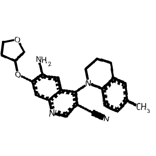 Cc1ccc2c(c1)CCCN2c1c(C#N)cnc2cc(OC3CCOC3)c(N)cc12